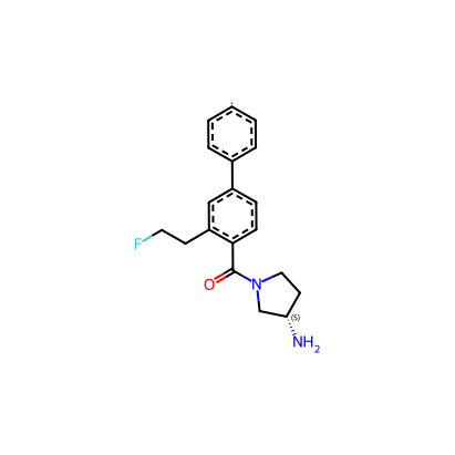 N[C@H]1CCN(C(=O)c2ccc(-c3cc[c]cc3)cc2CCF)C1